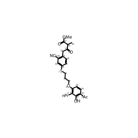 CCCc1c(OCCCSc2ccc(CC(=O)C(C)C(=O)OC)c(C#N)c2)ccc(C(C)=O)c1O